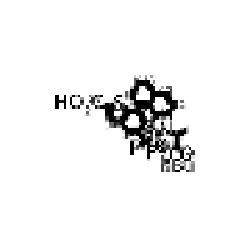 CCCCOC(=O)C(C)NP(=O)(Oc1cccc2ccccc12)C(F)(F)c1ccc2sc(C(=O)O)cc2c1